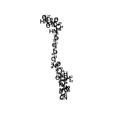 CN(CCOCCOCCOCCOCCNc1cccc2c1CN(C1CCC(=O)NC1=O)C2=O)C(=O)[C@H]1CC[C@H](NC(=O)c2cnc(-n3ncc4cc(C#N)cnc43)cc2NC2CC2)CC1